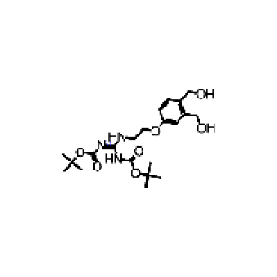 CC(C)(C)OC(=O)/N=C(/NCCOc1ccc(CO)c(CO)c1)NC(=O)OC(C)(C)C